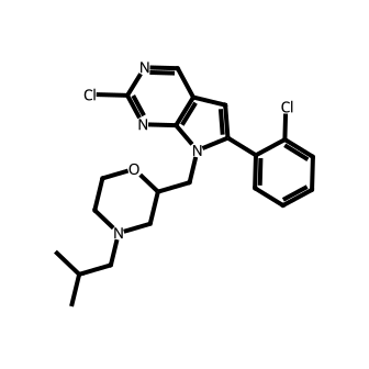 C[C](C)CN1CCOC(Cn2c(-c3ccccc3Cl)cc3cnc(Cl)nc32)C1